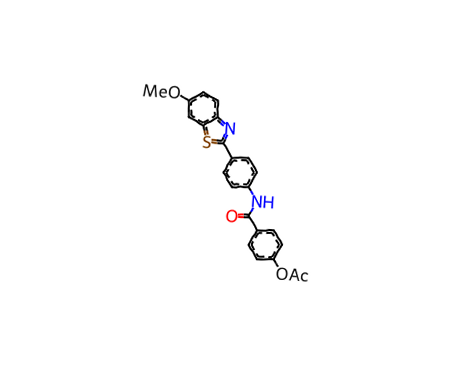 COc1ccc2nc(-c3ccc(NC(=O)c4ccc(OC(C)=O)cc4)cc3)sc2c1